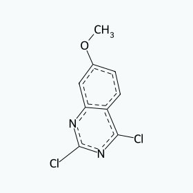 COc1ccc2c(Cl)nc(Cl)nc2c1